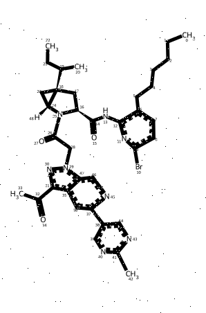 CCCCCCc1ccc(Br)nc1NC(=O)[C@@H]1C[C@@]2(C(C)CC)C[C@H]2N1C(=O)Cn1nc(C(C)=O)c2cc(-c3cnc(C)nc3)ncc21